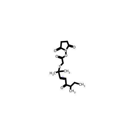 CCC(C)C(=O)/C=C/C(C)(C)SCC(=O)ON1C(=O)CCC1=O